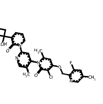 Cc1cnc(COc2cc(C)n(-c3cc(-n4cccc(C5(O)CCC5)c4=O)ncc3C)c(=O)c2Cl)c(F)c1